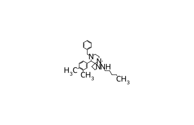 CCCCCNN1CCC12[N]CCN(Cc1ccccc1)C2c1ccc(C)c(C)c1